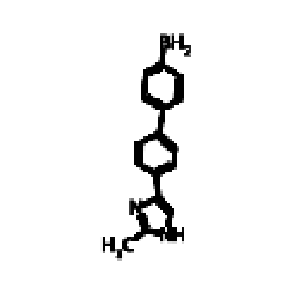 Bc1ccc(-c2ccc(-c3c[nH]c(C)n3)cc2)cc1